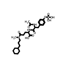 CC(=O)NC(Cc1ccc(OP(=O)(O)O)cc1)C(=O)NC(CCC(=O)N(C)CCCC1CCCCC1)C(=O)O